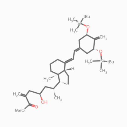 C=C(C[C@H](O)C[C@@H](C)[C@H]1CC[C@H]2/C(=C/C=C3C[C@@H](O[Si](C)(C)C(C)(C)C)C(=C)[C@H](O[Si](C)(C)C(C)(C)C)C3)CCC[C@]12C)C(=O)OC